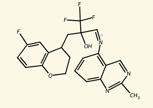 Cc1ncc2c(/N=C\C(O)(CC3CCOc4ccc(F)cc43)C(F)(F)F)cccc2n1